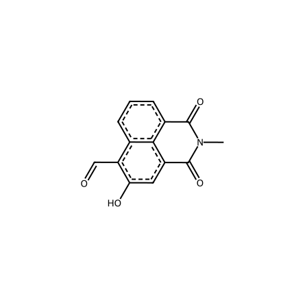 CN1C(=O)c2cccc3c(C=O)c(O)cc(c23)C1=O